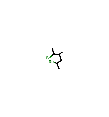 CC(Br)CC(C)C(C)Br